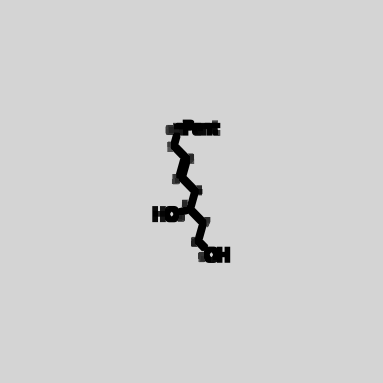 CCCCCC/C=C/CC(O)CCO